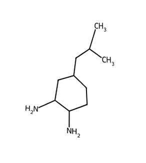 CC(C)CC1CCC(N)C(N)C1